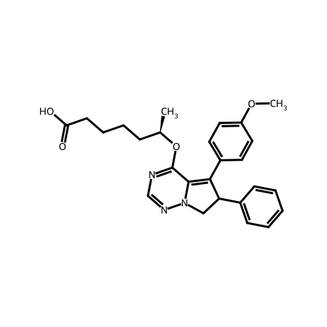 COc1ccc(C2=C3C(O[C@H](C)CCCCC(=O)O)=NC=NN3CC2c2ccccc2)cc1